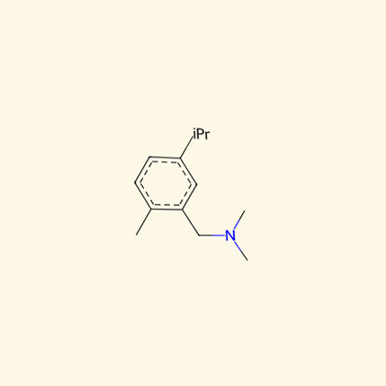 Cc1ccc(C(C)C)cc1CN(C)C